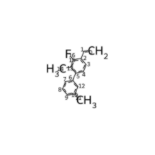 C=Cc1ccc(-c2cccc(C)c2)c(C)c1F